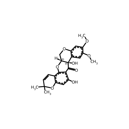 COc1cc2c(cc1OC)[C@]1(O)C(=O)c3c(O)cc4c(c3O[C@@H]1CO2)C=CC(C)(C)O4